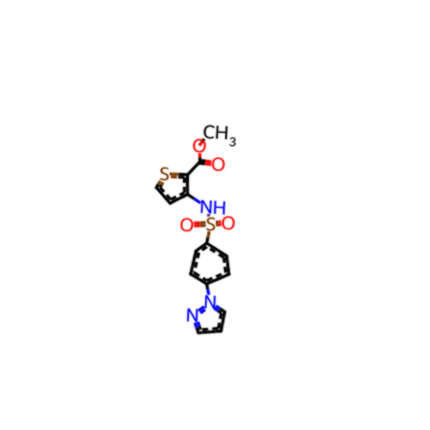 COC(=O)c1sccc1NS(=O)(=O)c1ccc(-n2cccn2)cc1